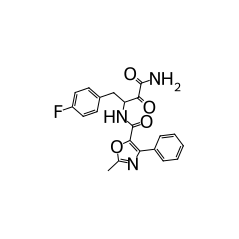 Cc1nc(-c2ccccc2)c(C(=O)NC(Cc2ccc(F)cc2)C(=O)C(N)=O)o1